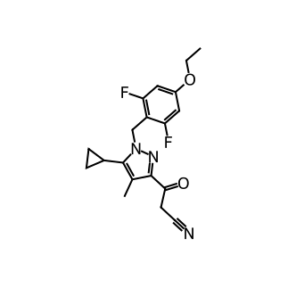 CCOc1cc(F)c(Cn2nc(C(=O)CC#N)c(C)c2C2CC2)c(F)c1